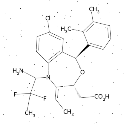 C/C=C1\[C@@H](CC(=O)O)O[C@H](c2cccc(C)c2C)c2cc(Cl)ccc2N1C(N)C(C)(F)F